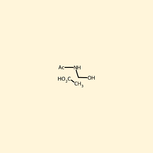 CC(=O)NCO.CC(=O)O